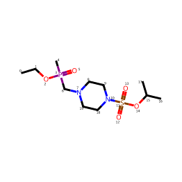 CCOP(C)(=O)CN1CCN(S(=O)(=O)OC(C)C)CC1